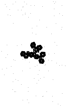 c1ccc(-c2nc(-n3c4cc(N(c5ccccc5)c5ccccc5)ccc4c4cc5c(cc43)oc3c4ccccc4ccc53)nc3ccccc23)cc1